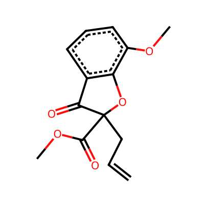 C=CCC1(C(=O)OC)Oc2c(OC)cccc2C1=O